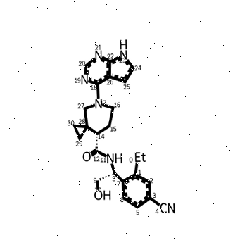 CCc1cc(C#N)ccc1[C@H](CO)NC(=O)[C@H]1CCN(c2ncnc3[nH]ccc23)CC12CC2